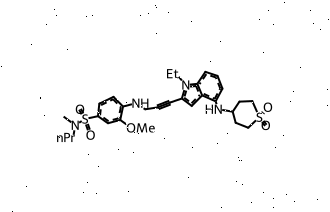 CCCN(C)S(=O)(=O)c1ccc(NCC#Cc2cc3c(NC4CCS(=O)(=O)CC4)cccc3n2CC)c(OC)c1